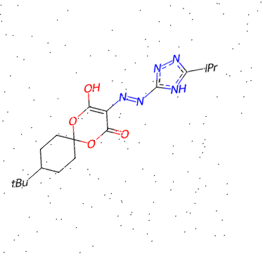 CC(C)c1nnc(N=NC2=C(O)OC3(CCC(C(C)(C)C)CC3)OC2=O)[nH]1